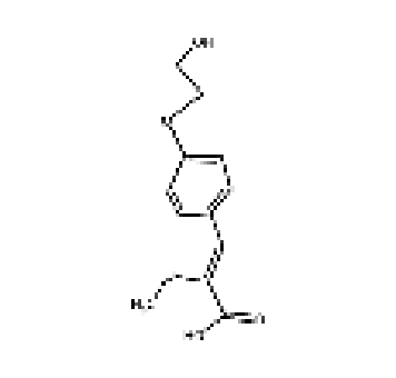 COC(=Cc1ccc(OCCO)cc1)C(=O)O